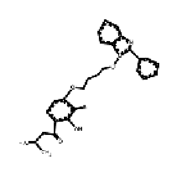 CC(C)CC(=O)c1ccc(OCCCCOn2c(-c3ccccc3)nc3ccccc32)c(Br)c1O